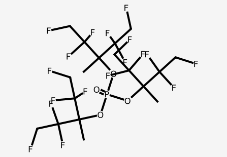 CC(OP(=O)(OC(C)(C(F)(F)CF)C(F)(F)CF)OC(C)(C(F)(F)CF)C(F)(F)CF)(C(F)(F)CF)C(F)(F)CF